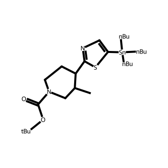 CCC[CH2][Sn]([CH2]CCC)([CH2]CCC)[c]1cnc(C2CCN(C(=O)OC(C)(C)C)CC2C)s1